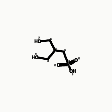 O=S(=O)(O)CC(CO)CO